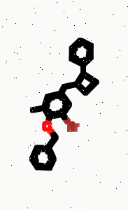 Cc1cc(CC2CCC2c2ccccc2)cc(Br)c1OCc1ccccc1